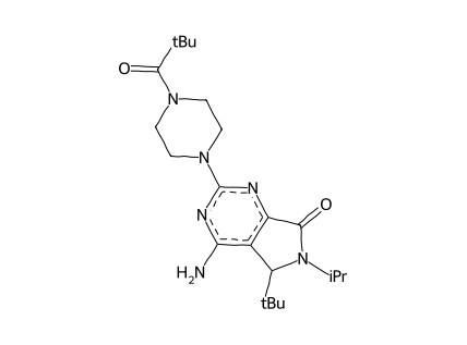 CC(C)N1C(=O)c2nc(N3CCN(C(=O)C(C)(C)C)CC3)nc(N)c2C1C(C)(C)C